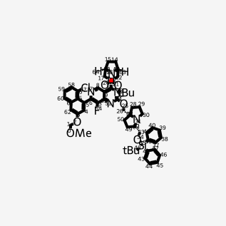 COCOc1cc(-c2ncc3c(N4C[C@H]5CC[C@@H](C4)N5C(=O)OC(C)(C)C)nc(OC[C@]45CCCN4[C@H](CO[Si](c4ccccc4)(c4ccccc4)C(C)(C)C)CC5)nc3c2F)c2c(Cl)cccc2c1